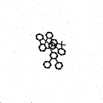 CC1(C)c2ccccc2-c2c(N(c3ccc(-c4ccccc4)c(-c4ccccc4)c3)c3cccc4c3C3(c5ccccc5-c5ccccc53)c3ccccc3-4)cccc21